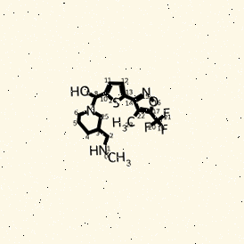 CNCC1CCCN(C(O)c2ccc(-c3noc(C(F)(F)F)c3C)s2)C1